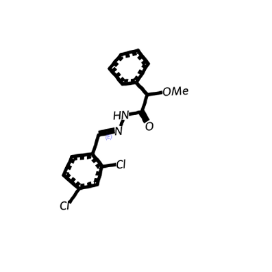 COC(C(=O)N/N=C/c1ccc(Cl)cc1Cl)c1ccccc1